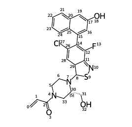 C=CC(=O)N1CCN(C2SN=C3C(F)=C(c4cc(O)cc5ccccc45)C(Cl)=CC32)[C@H](CO)C1